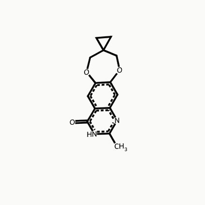 Cc1nc2cc3c(cc2c(=O)[nH]1)OCC1(CC1)CO3